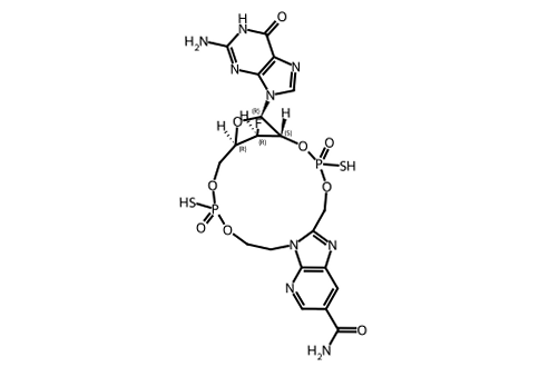 NC(=O)c1cnc2c(c1)nc1n2CCOP(=O)(S)OC[C@H]2O[C@@H](n3cnc4c(=O)[nH]c(N)nc43)[C@H](OP(=O)(S)OC1)[C@@H]2F